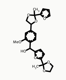 COc1cc(C2COC(C)(c3ccco3)O2)ccc1C(O)c1ccc(C2(C)OCCO2)o1